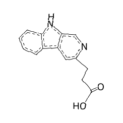 O=C(O)CCc1cc2c(cn1)[nH]c1ccccc12